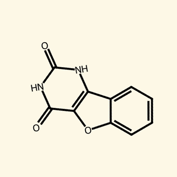 O=c1[nH]c(=O)c2oc3ccccc3c2[nH]1